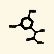 COC(=O)C(O)c1cc(OC)cc(OC)c1